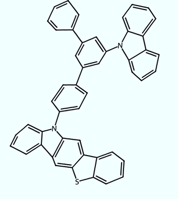 c1ccc(-c2cc(-c3ccc(-n4c5ccccc5c5cc6sc7ccccc7c6cc54)cc3)cc(-n3c4ccccc4c4ccccc43)c2)cc1